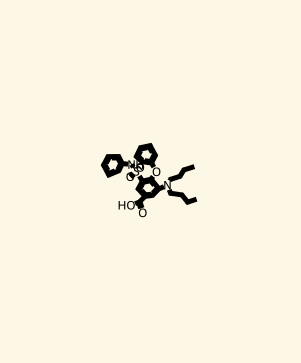 CCCCN(CCCC)c1cc(C(=O)O)cc(S(=O)(=O)Nc2ccccc2)c1Oc1ccccc1